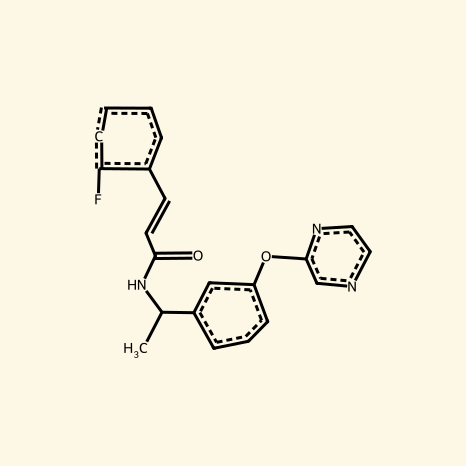 CC(NC(=O)C=Cc1ccccc1F)c1cccc(Oc2cnccn2)c1